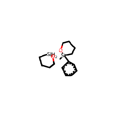 C1CC[SiH2]OC1.C[Si]1(c2ccccc2)CCCCO1